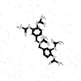 CC(=O)Oc1ccc(CN(Cc2ccc(OC(C)=O)c(OC(C)=O)c2)C(C)=O)cc1OC(C)=O